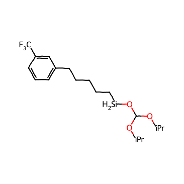 CC(C)OC(O[SiH2]CCCCCc1cccc(C(F)(F)F)c1)OC(C)C